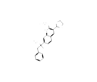 COc1nc2cc(C(C)(C#N)Cc3ccccc3)ccc2cc1C1OCCO1